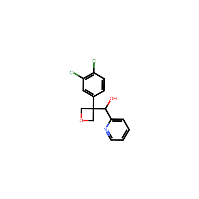 OC(c1ccccn1)C1(c2ccc(Cl)c(Cl)c2)COC1